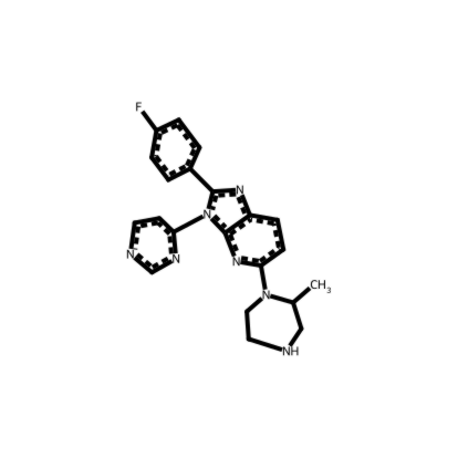 CC1CNCCN1c1ccc2nc(-c3ccc(F)cc3)n(-c3ccncn3)c2n1